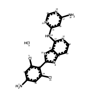 Cl.Nc1cc(Cl)c(-c2nc3ccnc(Nc4cc(N)ncn4)c3s2)c(Cl)c1